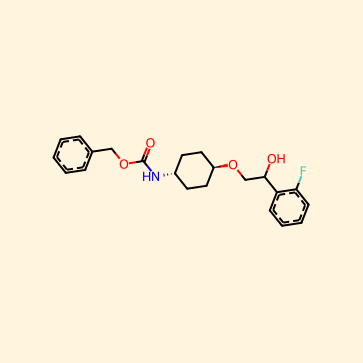 O=C(N[C@H]1CC[C@H](OCC(O)c2ccccc2F)CC1)OCc1ccccc1